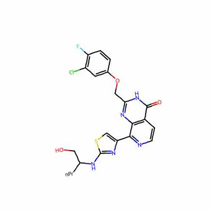 CCCC(CO)Nc1nc(-c2nccc3c(=O)[nH]c(COc4ccc(F)c(Cl)c4)nc23)cs1